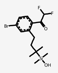 CC(C)(CCc1cc(Br)ccc1C(=O)C(F)F)[Si](C)(C)O